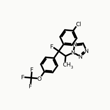 CC(n1ncnn1)C(F)(c1ccc(Cl)cc1)c1ccc(OC(F)(F)F)cc1